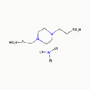 CCN(CC)CC.O=S(=O)(O)CCN1CCN(CCS(=O)(=O)O)CC1